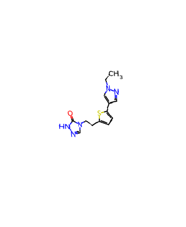 CCn1cc(-c2ccc(CCn3cn[nH]c3=O)s2)cn1